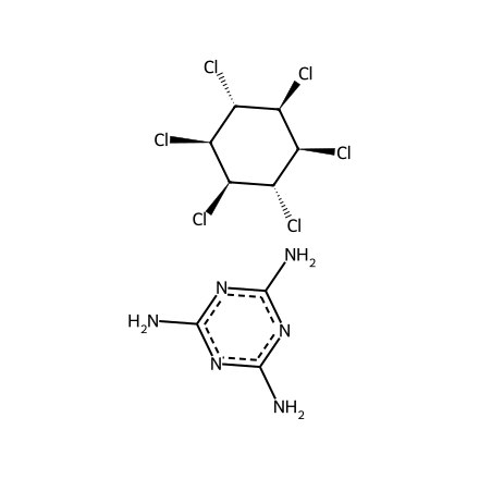 Cl[C@H]1[C@H](Cl)[C@@H](Cl)[C@@H](Cl)[C@H](Cl)[C@H]1Cl.Nc1nc(N)nc(N)n1